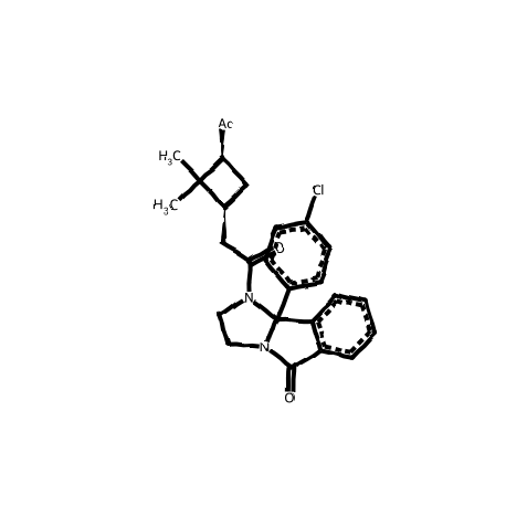 CC(=O)[C@H]1C[C@@H](CC(=O)N2CCN3C(=O)c4ccccc4C23c2ccc(Cl)cc2)C1(C)C